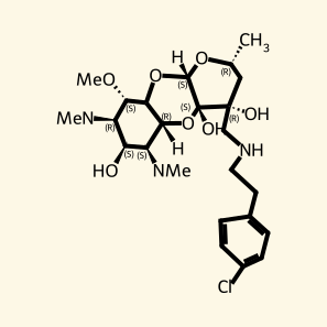 CN[C@@H]1[C@H](O)[C@H](NC)[C@H]2O[C@]3(O)[C@H](OC2[C@H]1OC)O[C@H](C)C[C@@]3(O)CNCCc1ccc(Cl)cc1